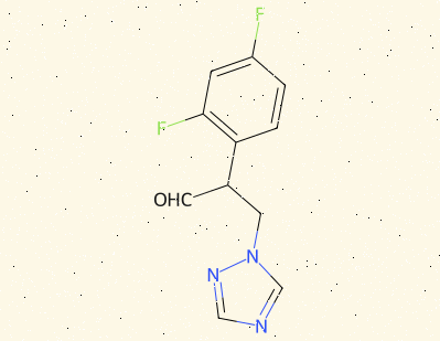 O=CC(Cn1cncn1)c1ccc(F)cc1F